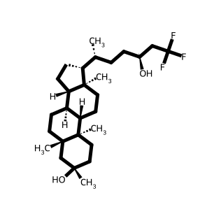 C[C@H](CC[C@H](O)CC(F)(F)F)[C@H]1CC[C@H]2[C@@H]3CC[C@@]4(C)C[C@@](C)(O)CC[C@]4(C)[C@H]3CC[C@]12C